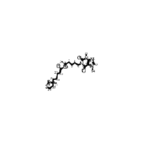 C[C@@H](CCCCn1c(=O)c2c(ncn2C)n(C)c1=O)OC(=O)CCCC[C@]1(C)CCSS1